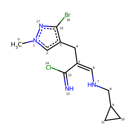 Cn1cc(C/C(=C/NCC2CC2)C(=N)Cl)c(Br)n1